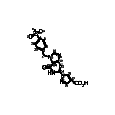 CS(=O)(=O)c1ccc(Cn2cnc3nc(-n4cc(C(=O)O)cn4)[nH]c(=O)c32)cc1